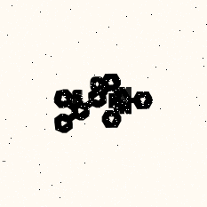 c1ccc(-c2nc(-c3ccccc3)nc(-c3cccc4oc5cc(-c6ccc(-c7ccccc7)c7c6sc6ccccc67)ccc5c34)n2)cc1